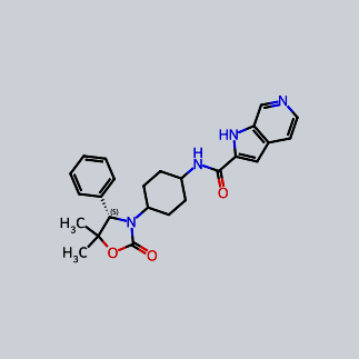 CC1(C)OC(=O)N(C2CCC(NC(=O)c3cc4ccncc4[nH]3)CC2)[C@H]1c1ccccc1